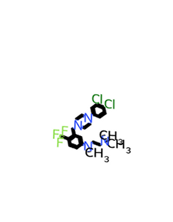 CN(C)CCN(C)c1ccc(C(F)(F)F)c(CN2CCN(c3ccc(Cl)c(Cl)c3)CC2)c1